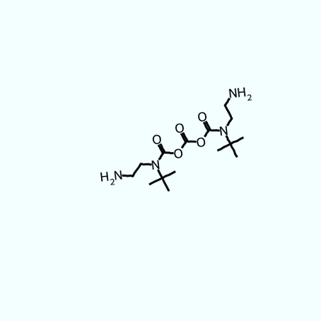 CC(C)(C)N(CCN)C(=O)OC(=O)OC(=O)N(CCN)C(C)(C)C